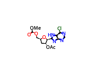 COC(=O)OC[C@@H]1C[C@@H](OC(C)=O)[C@H](c2nc3ncnc(Cl)c3[nH]2)O1